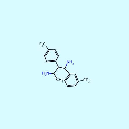 CC(N)C(c1ccc(C(F)(F)F)cc1)C(N)c1cccc(C(F)(F)F)c1